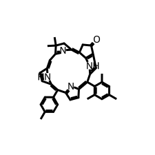 Cc1ccc(-c2c3nc(c(-c4c(C)cc(C)cc4C)c4cc5c([nH]4)c(c4nc(cc6ccc2[nH]6)C(C)(C)C4)CC5=O)C=C3)cc1